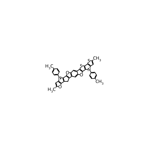 Cc1ccc(-n2c3c(c4oc(C)cc42)Cc2c-3oc3cc4c(cc23)oc2c4sc3c4sc(C)cc4n(-c4ccc(C)cc4)c23)cc1